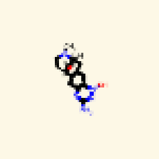 CN1CC[C@]23CCCC[C@H]2[C@H]1Cc1cc2c(cc13)nc(N)n[n+]2O